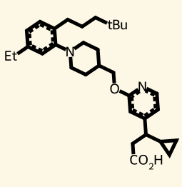 CCc1ccc(CCCC(C)(C)C)c(N2CCC(COc3cc(C(CC(=O)O)C4CC4)ccn3)CC2)c1